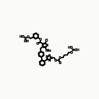 CCCCc1nc(Cl)c(C(=O)Oc2cccc(CON(O)O)c2)n1Cc1ccc(-c2ccccc2-c2nnn(COC(=O)OCCCCON(O)O)n2)cc1